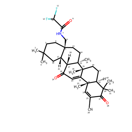 CC1(C)CC[C@]2(CNC(=O)C(F)F)CC[C@]3(C)[C@H](C(=O)C=C4[C@@]5(C)C=C(C#N)C(=O)C(C)(C)[C@@H]5CC[C@]43C)[C@@H]2C1